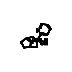 O=C(O)N1C2CCC1CC(O)(c1ccccn1)C2